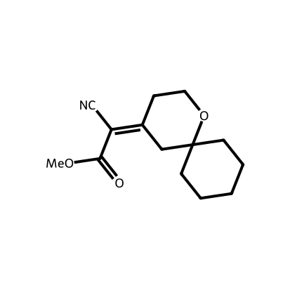 COC(=O)C(C#N)=C1CCOC2(CCCCC2)C1